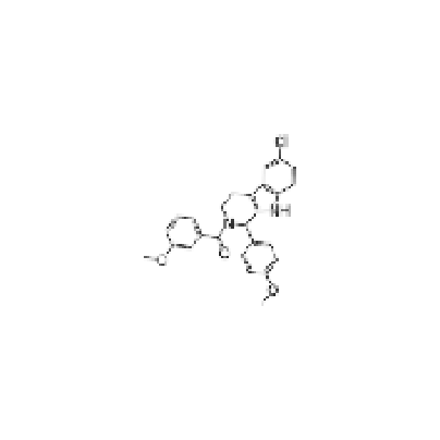 COc1ccc(C2c3[nH]c4ccc(Cl)cc4c3CCN2C(=O)c2cccc(OC)c2)cc1